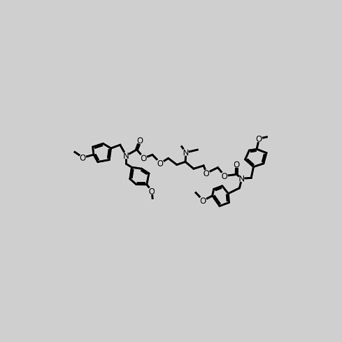 COc1ccc(CN(Cc2ccc(OC)cc2)C(=O)OCOCCC(CCOCOC(=O)N(Cc2ccc(OC)cc2)Cc2ccc(OC)cc2)N(C)C)cc1